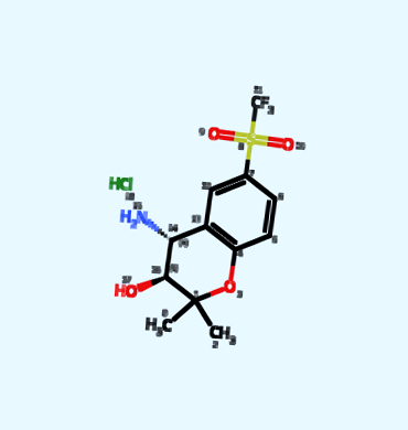 CC1(C)Oc2ccc(S(=O)(=O)C(F)(F)F)cc2[C@@H](N)[C@@H]1O.Cl